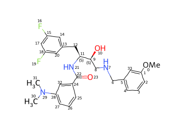 COc1cccc(CNC[C@H](O)[C@H](Cc2cc(F)cc(F)c2)NC(=O)c2cccc(N(C)C)c2)c1